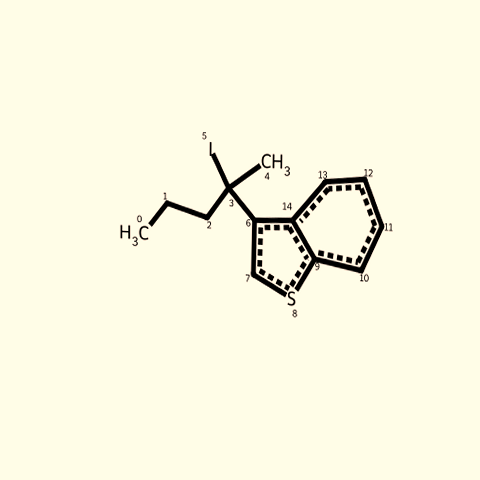 CCCC(C)(I)c1csc2ccccc12